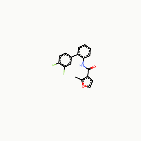 Cc1occc1C(=O)Nc1ccccc1-c1ccc(F)c(F)c1